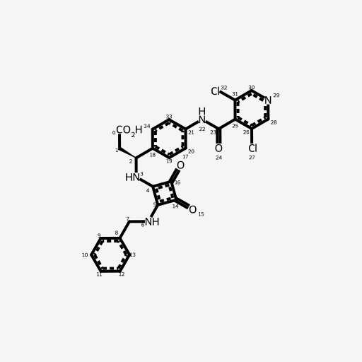 O=C(O)C[C@H](Nc1c(NCc2ccccc2)c(=O)c1=O)c1ccc(NC(=O)c2c(Cl)cncc2Cl)cc1